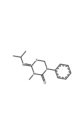 CC(C)N=C1SCN(c2ccccc2)C(=O)N1C